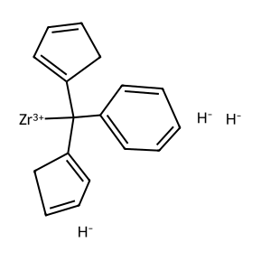 [H-].[H-].[H-].[Zr+3][C](C1=CC=CC1)(C1=CC=CC1)c1ccccc1